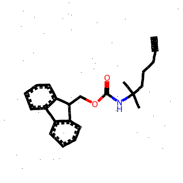 C#CCCCC(C)(C)NC(=O)OCC1c2ccccc2-c2ccccc21